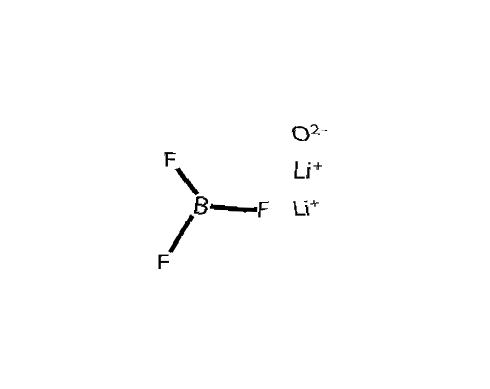 FB(F)F.[Li+].[Li+].[O-2]